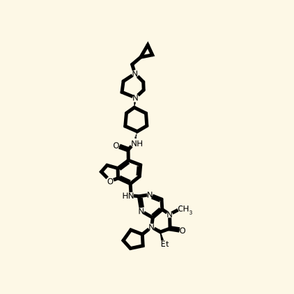 CC[C@@H]1C(=O)N(C)c2cnc(Nc3ccc(C(=O)N[C@H]4CC[C@@H](N5CCN(CC6CC6)CC5)CC4)c4c3OCC4)nc2N1C1CCCC1